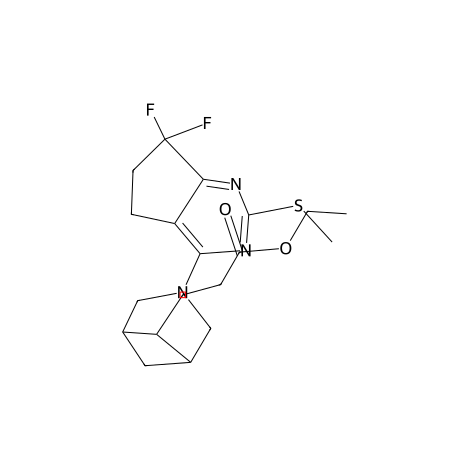 CCOC(=O)CCC1C2CC1CN(c1nc(SC)nc3c1CCC3(F)F)C2